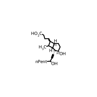 CCCCCC(O)C#C[C@@H]1[C@H]2C(C)C(=CCCC(=O)O)[C@H]2CC[C@H]1O